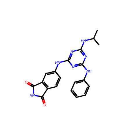 CC(C)Nc1nc(Nc2ccccc2)nc(Nc2ccc3c(c2)C(=O)NC3=O)n1